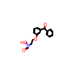 O=CN(O)CCOc1cccc(C(=O)c2ccccc2)c1